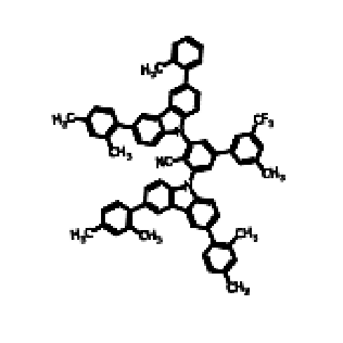 Cc1cc(-c2cc(-n3c4ccc(-c5ccccc5C)cc4c4cc(-c5ccc(C)cc5C)ccc43)c(C#N)c(-n3c4ccc(-c5ccc(C)cc5C)cc4c4cc(-c5ccc(C)cc5C)ccc43)c2)cc(C(F)(F)F)c1